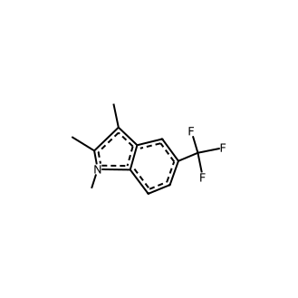 Cc1c(C)n(C)c2ccc(C(F)(F)F)cc12